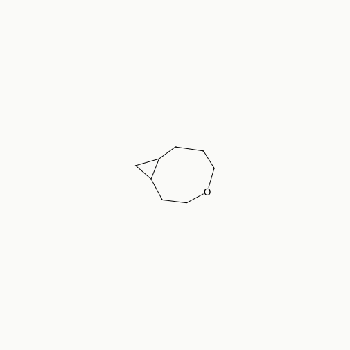 C1COCCC2CC2C1